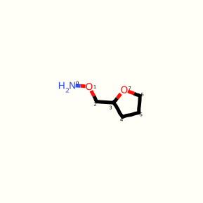 NOCC1CCCO1